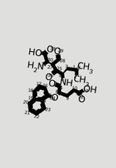 CC(C)C[C@@H](NC(=O)C(CCC(=O)O)Oc1cccc2ccccc12)C(=O)[C@H](C=O)C(N)C(=O)O